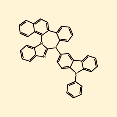 c1ccc(-n2c3ccccc3c3cc(N4c5ccccc5-c5ccc6ccccc6c5-n5c4nc4ccccc45)ccc32)cc1